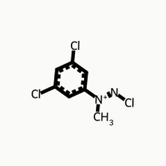 C[N+](=NCl)c1cc(Cl)cc(Cl)c1